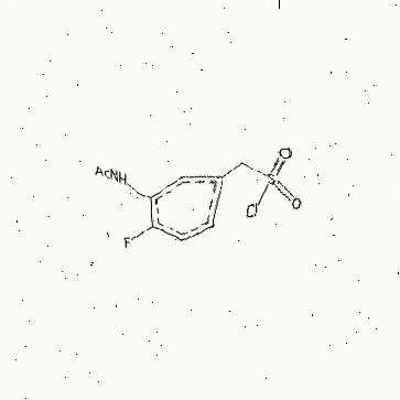 CC(=O)Nc1cc(CS(=O)(=O)Cl)ccc1F